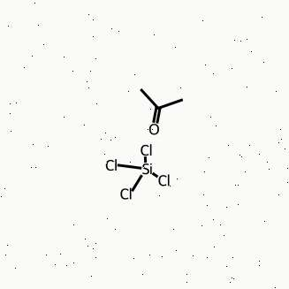 CC(C)=O.Cl[Si](Cl)(Cl)Cl